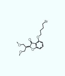 COCC(COC)=C1Oc2cccc(OCCCCBr)c2C1=O